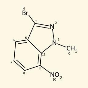 Cn1nc(Br)c2cccc([N+](=O)[O-])c21